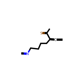 C=C=C(CCCCN=C)C(C)=S